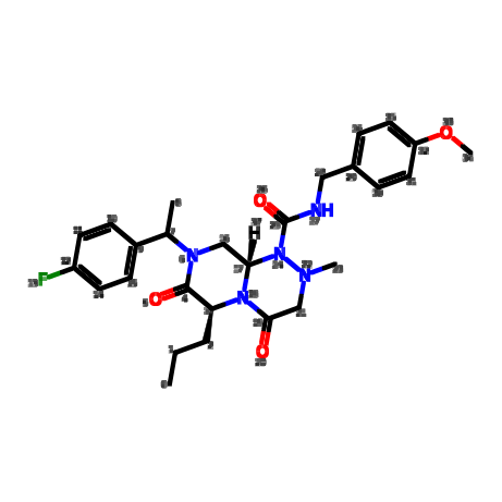 CCC[C@H]1C(=O)N(C(C)c2ccc(F)cc2)C[C@H]2N1C(=O)CN(C)N2C(=O)NCc1ccc(OC)cc1